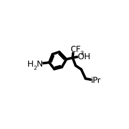 CC(C)CCCC(O)(c1ccc(N)cc1)C(F)(F)F